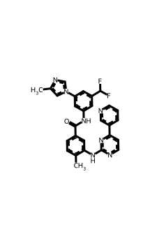 Cc1cn(-c2cc(NC(=O)c3ccc(C)c(Nc4nccc(-c5cccnc5)n4)c3)cc(C(F)F)c2)cn1